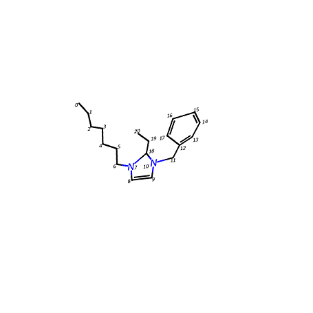 CCCCCCCN1C=CN(Cc2ccccc2)C1CC